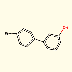 CCc1ccc(-c2cccc(O)c2)cc1